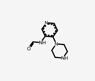 O=CNc1cnccc1N1CCNCC1